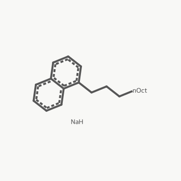 CCCCCCCCCCCc1cccc2ccccc12.[NaH]